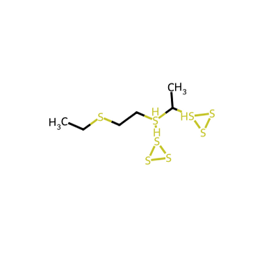 CCSCC[SH](C(C)[SH]1SS1)[SH]1SS1